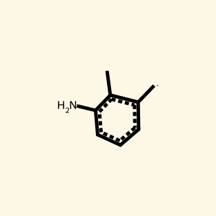 [CH2]c1cccc(N)c1C